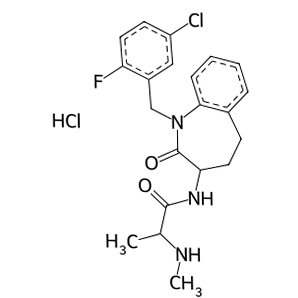 CNC(C)C(=O)NC1CCc2ccccc2N(Cc2cc(Cl)ccc2F)C1=O.Cl